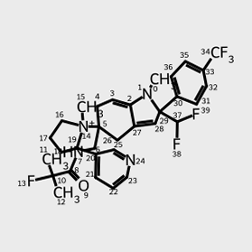 CN1C2=CCC(CNC(=O)C(C)(C)F)([N+]3(C)CCCC3c3cccnc3)CC2=CC1(c1ccc(C(F)(F)F)cc1)C(F)F